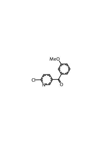 COc1cccc(C(=O)c2ccc(Cl)nc2)c1